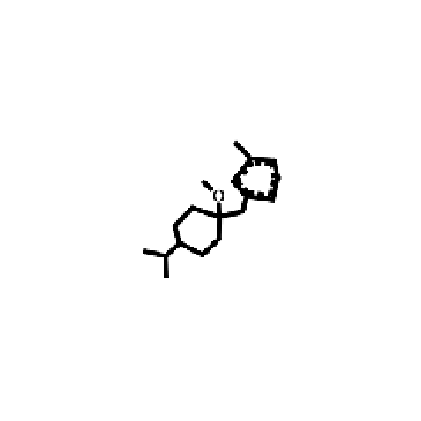 COC1(Cc2cccc(C)c2)CCC(C(C)C)CC1